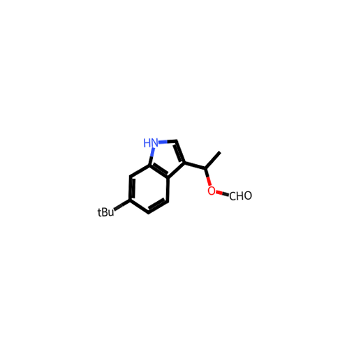 CC(OC=O)c1c[nH]c2cc(C(C)(C)C)ccc12